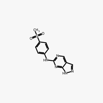 CS(=O)(=O)c1ccc(Nc2ncc3cn[nH]c3n2)cc1